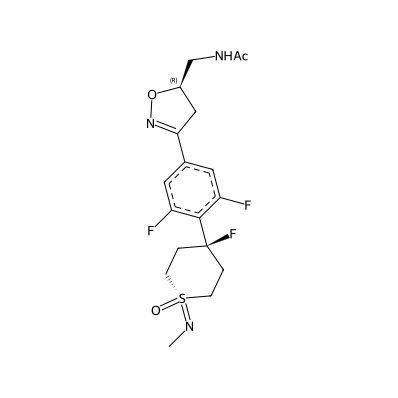 CN=[S@]1(=O)CC[C@](F)(c2c(F)cc(C3=NO[C@@H](CNC(C)=O)C3)cc2F)CC1